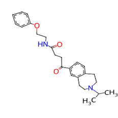 CC(C)N1CCc2ccc(C(=O)CCC(=O)NCCOc3ccccc3)cc2CC1